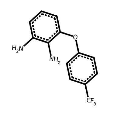 Nc1cccc(Oc2ccc(C(F)(F)F)cc2)c1N